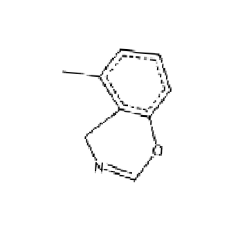 Cc1cccc2c1CN=CO2